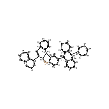 C1=C(c2cccc3ccccc23)C2Sc3ccc(-c4c5ccccc5c(-c5ccccc5)c5ccccc45)cc3C2c2ccccc21